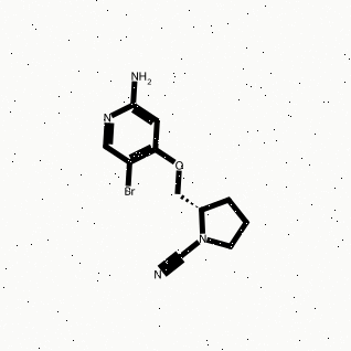 N#CN1CCC[C@H]1COc1cc(N)ncc1Br